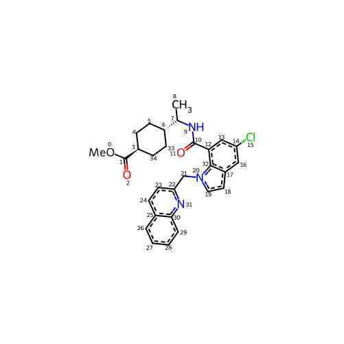 COC(=O)[C@H]1CC[C@H](C(C)NC(=O)c2cc(Cl)cc3ccn(Cc4ccc5ccccc5n4)c23)CC1